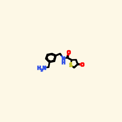 NCc1cccc(CNC(=O)C2CC(=O)CS2)c1